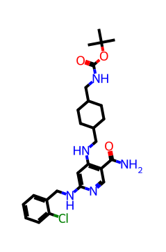 CC(C)(C)OC(=O)NCC1CCC(CNc2cc(NCc3ccccc3Cl)ncc2C(N)=O)CC1